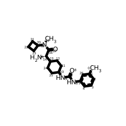 Cc1cccc(NC(=O)NC2CCC([C@H](N)C(=O)N(C)C3CCC3)CC2)c1